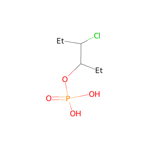 CCC(Cl)C(CC)OP(=O)(O)O